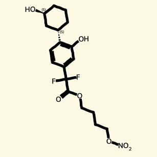 O=C(OCCCCO[N+](=O)[O-])C(F)(F)c1ccc([C@H]2CCC[C@H](O)C2)c(O)c1